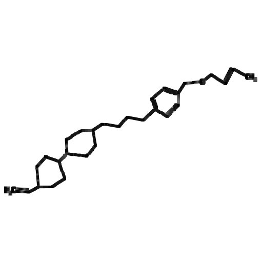 C=CC1CCC(C2CCC(CCCCc3ccc(COCC=CC)cc3)CC2)CC1